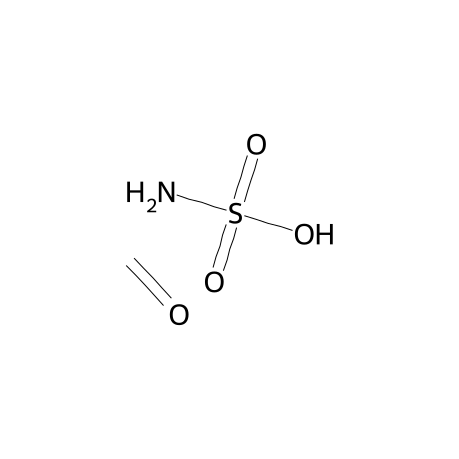 C=O.NS(=O)(=O)O